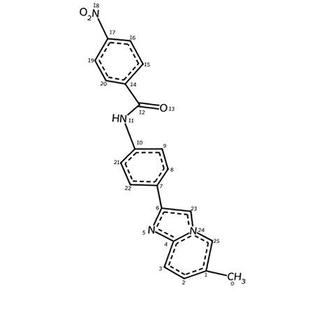 Cc1ccc2nc(-c3ccc(NC(=O)c4ccc([N+](=O)[O-])cc4)cc3)cn2c1